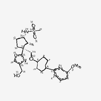 COc1ccnc(C2CCC(OC[C@]3(c4nc(CO)co4)CC[C@H](NS(C)(=O)=O)C3)CC2)n1